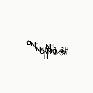 C[C@@H]1CN(c2cc(N)nc(NC3CCC(CNCCCNC4CCCCC4)CC3)n2)CCN1CCP(=O)(O)O